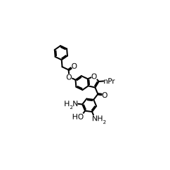 CCCc1oc2cc(OC(=O)Cc3ccccc3)ccc2c1C(=O)c1cc(N)c(O)c(N)c1